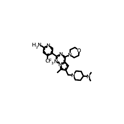 Cc1c(CN2CCC(N(C)C)CC2)cc2c(N3CCOCC3)nc(-c3cnc(N)cc3C(F)(F)F)nn12